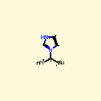 CCCC(C(C)CC)[n+]1cc[nH]c1